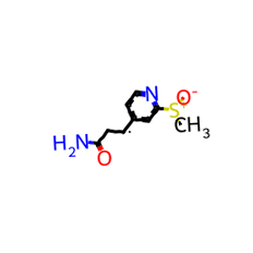 C[S@+]([O-])c1cc([CH]CC(N)=O)ccn1